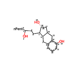 CCCCCC(O)CCC1C2Cc3cccc(O)c3CC2C[C@H]1O